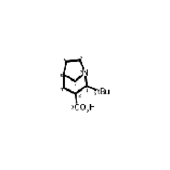 CC(C)(C)C1C(C(=O)O)CC2CCN1C2